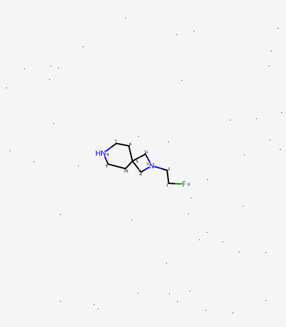 FCCN1CC2(CCNCC2)C1